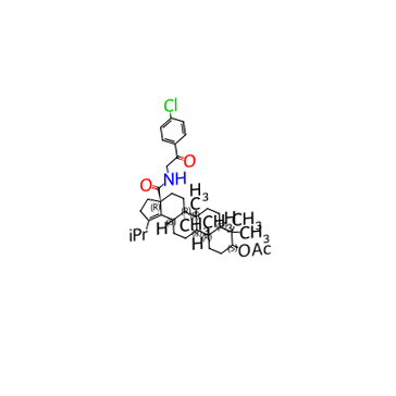 CC(=O)O[C@H]1CC[C@]2(C)[C@H]3CC[C@@H]4C5=C(C(C)C)CC[C@]5(C(=O)NCC(=O)c5ccc(Cl)cc5)CC[C@@]4(C)[C@]3(C)CC[C@H]2C1(C)C